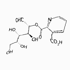 O=C[C@H](OC(=O)c1ncccc1C(=O)O)[C@@H](O)[C@@H](O)[C@H](O)CO